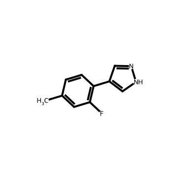 Cc1ccc(-c2cn[nH]c2)c(F)c1